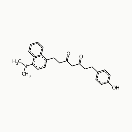 CN(C)c1ccc(CCC(=O)CC(=O)CCc2ccc(O)cc2)c2ccccc12